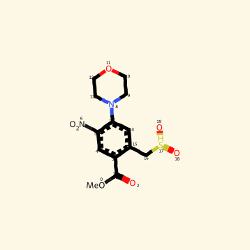 COC(=O)c1cc([N+](=O)[O-])c(N2CCOCC2)cc1C[SH](=O)=O